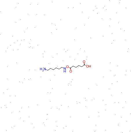 NCCCCCCNOC(=O)CCCCC(=O)O